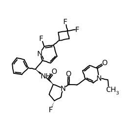 CCn1cc(CC(=O)N2C[C@H](F)C[C@H]2C(=O)N[C@@H](c2ccccc2)c2ccc(C3CC(F)(F)C3)c(F)n2)ccc1=O